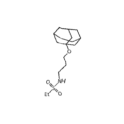 CCS(=O)(=O)NCCCOC12CC3CC(CC(C3)C1)C2